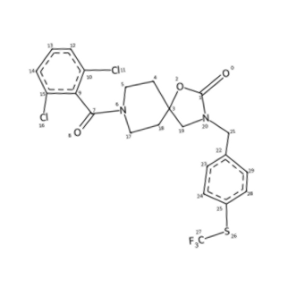 O=C1OC2(CCN(C(=O)c3c(Cl)cccc3Cl)CC2)CN1Cc1ccc(SC(F)(F)F)cc1